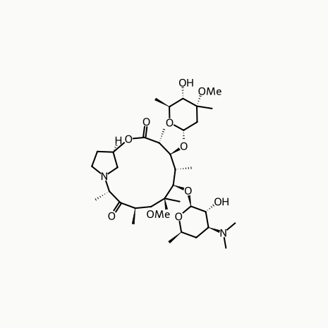 CO[C@]1(C)C[C@H](O[C@H]2[C@H](C)[C@@H](O[C@@H]3O[C@H](C)C[C@H](N(C)C)[C@H]3O)[C@@](C)(OC)C[C@@H](C)C(=O)[C@H](C)N3CC[C@H](C3)OC(=O)[C@@H]2C)O[C@@H](C)[C@@H]1O